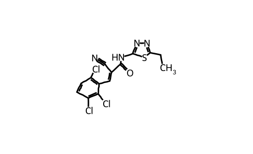 CCc1nnc(NC(=O)C(C#N)=Cc2c(Cl)ccc(Cl)c2Cl)s1